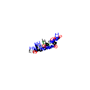 CCOC1=CN/C(=C(/C#N)C=N)C(c2ccc(N3CCC(CN4CCN(C5CN(C(=O)c6ccc7c(N8CCC(=O)NC8=O)nn(C)c7c6)C5)CC4)(NC(=O)c4cc(F)ccc4F)CC3)nc2)=C1